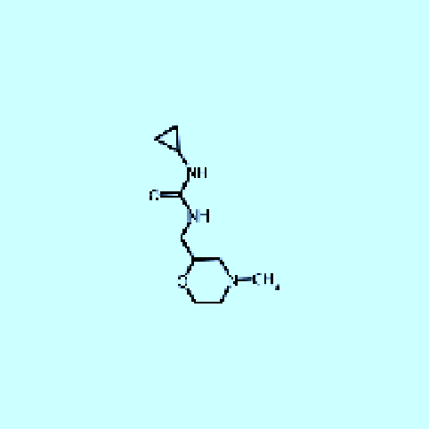 CN1CCOC(CNC(=O)NC2CC2)C1